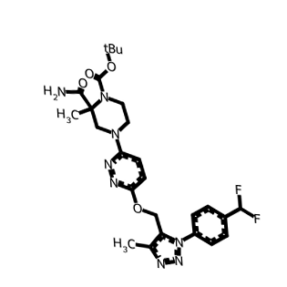 Cc1nnn(-c2ccc(C(F)F)cc2)c1COc1ccc(N2CCN(C(=O)OC(C)(C)C)C(C)(C(N)=O)C2)nn1